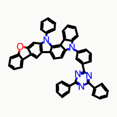 c1ccc(-c2nc(-c3ccccc3)nc(-c3cccc(-n4c5ccccc5c5c4ccc4c6cc7c(cc6n(-c6ccccc6)c45)oc4ccccc47)c3)n2)cc1